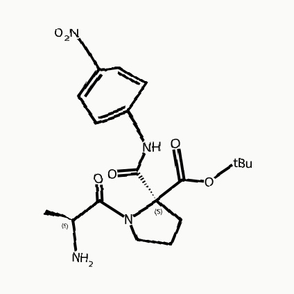 C[C@H](N)C(=O)N1CCC[C@]1(C(=O)Nc1ccc([N+](=O)[O-])cc1)C(=O)OC(C)(C)C